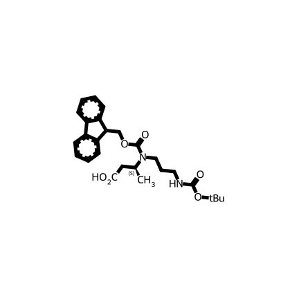 C[C@@H](CC(=O)O)N(CCCNC(=O)OC(C)(C)C)C(=O)OCC1c2ccccc2-c2ccccc21